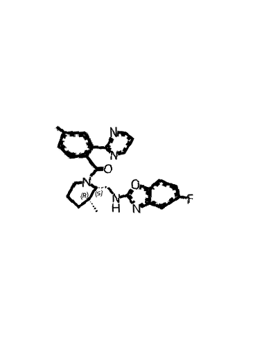 Cc1ccc(C(=O)N2CCC[C@@H](C)[C@H]2CNc2nc3cc(F)ccc3o2)c(-c2ncccn2)c1